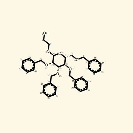 OCCO[C@H]1O[C@H](COCc2ccccc2)[C@@H](OCc2ccccc2)[C@H](OCc2ccccc2)[C@@H]1OCc1ccccc1